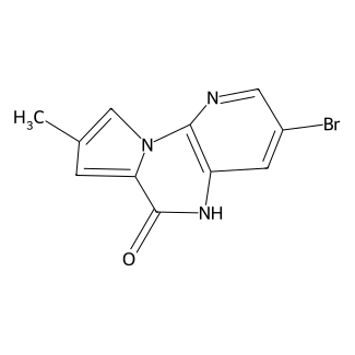 Cc1cc2c(=O)[nH]c3cc(Br)cnc3n2c1